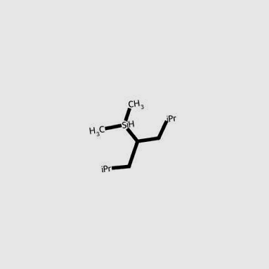 CC(C)CC(CC(C)C)[SiH](C)C